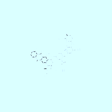 CCC1(O)CC(OC2CC(N(C)C)C(OC3CC(O)C(OC4CCC(=O)C(C)O4)C(C)O3)C(C)O2)c2c(cc3c(c2O)C(=O)c2c(O)cccc2C3=O)C1C(=O)OC.[Cl-].[H+]